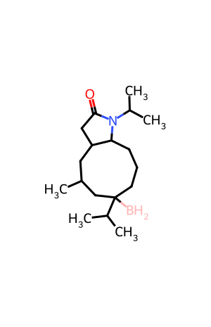 BC1(C(C)C)CCCC2C(CC(=O)N2C(C)C)CC(C)C1